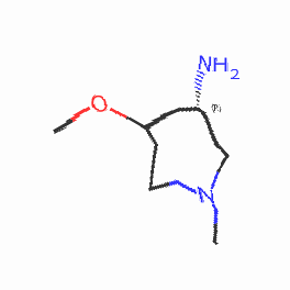 COC1CN(C)C[C@H]1N